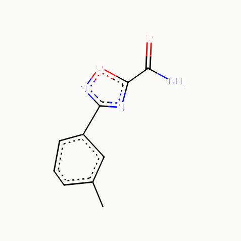 Cc1cccc(-c2noc(C(N)=O)n2)c1